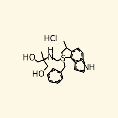 CC1CS(CNC(C)(CO)CO)(Cc2ccccc2)c2c1ccc1[nH]ccc21.Cl